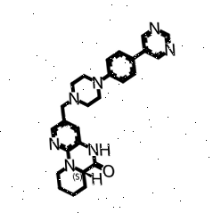 O=C1Nc2cc(CN3CCN(c4ccc(-c5cncnc5)cc4)CC3)cnc2N2CCCC[C@@H]12